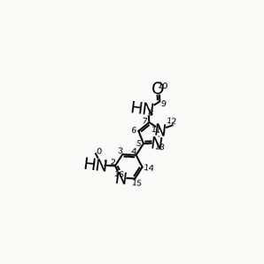 CNc1cc(-c2cc(NC=O)n(C)n2)ccn1